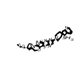 COCOC[C@H]1CC2COc3c(Sc4ncc(N5CCC6(CC5)Cc5ncccc5[C@H]6N)nc4N)ccnc3N2C1